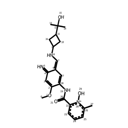 COC1=CC(=N)/C(=C\NC2CC(C(C)(C)O)C2)C=C1NC(=O)c1cccc(C)[n+]1O